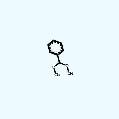 N#COC(OC#N)c1ccccc1